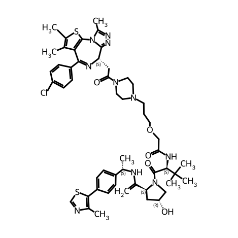 C=C(N[C@@H](C)c1ccc(-c2scnc2C)cc1)[C@@H]1C[C@@H](O)CN1C(=O)[C@@H](NC(=O)COCCCN1CCN(C(=O)C[C@@H]2N=C(c3ccc(Cl)cc3)c3c(sc(C)c3C)-n3c(C)nnc32)CC1)C(C)(C)C